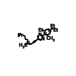 CCC(CC)N1CC(C)N(c2ncc(C#CCN(C)CCCC(C)C)cn2)C(CC)C1